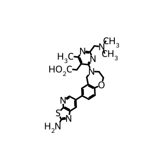 Cc1nc(CN(C)C)nc(N2CCOc3ccc(-c4cnc5sc(N)nc5c4)cc3C2)c1CC(=O)O